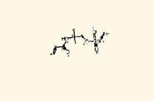 C=CC(=O)NC(C)(C)COS(=O)(=O)C=C